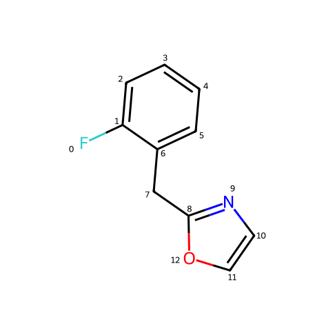 Fc1ccccc1Cc1ncco1